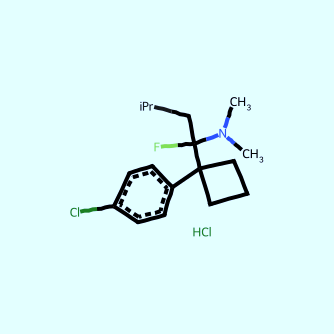 CC(C)CC(F)(N(C)C)C1(c2ccc(Cl)cc2)CCC1.Cl